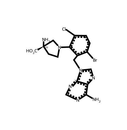 Nc1ncnc2c1ncn2Cc1c(Br)ccc(Cl)c1N1CC[C@@](N)(C(=O)O)C1